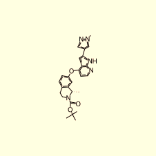 C[C@H]1c2cc(Oc3ccnc4[nH]c(-c5cnn(C)c5)cc34)ccc2CCN1C(=O)OC(C)(C)C